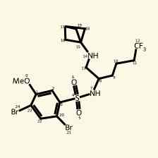 COc1cc(S(=O)(=O)NC(CCCC(F)(F)F)CNC23CC(C2)C3)c(Br)cc1Br